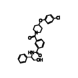 O=C(NC(CO)c1ccccc1)c1cccc(C(=O)N2CCC(Oc3ccc(Cl)cc3)CC2)c1